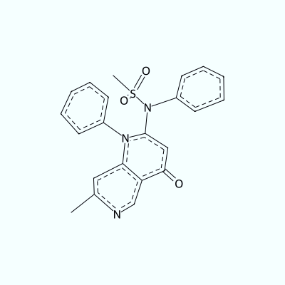 Cc1cc2c(cn1)c(=O)cc(N(c1ccccc1)S(C)(=O)=O)n2-c1ccccc1